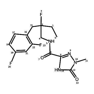 CCC(F)(CNC(=O)c1nn(C)c(=O)[nH]1)Cc1ccc(F)cc1F